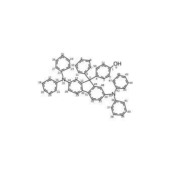 Oc1ccc(C2(c3ccccc3)c3cc(N(c4ccccc4)c4ccccc4)ccc3-c3ccc(N(c4ccccc4)c4ccccc4)cc32)cc1